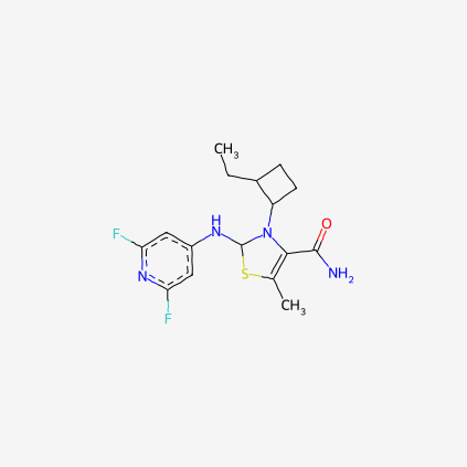 CCC1CCC1N1C(C(N)=O)=C(C)SC1Nc1cc(F)nc(F)c1